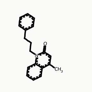 Cc1cc(=O)n(CCCc2ccccc2)c2ccccc12